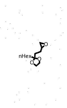 CCCCCCC1(CCC2CO2)OCCO1